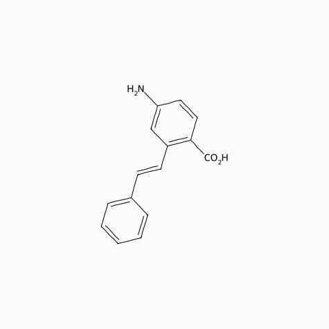 Nc1ccc(C(=O)O)c(C=Cc2ccccc2)c1